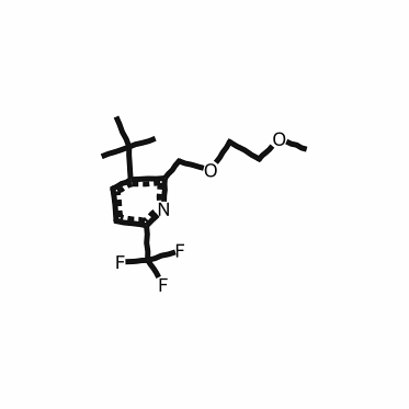 COCCOCc1nc(C(F)(F)F)ccc1C(C)(C)C